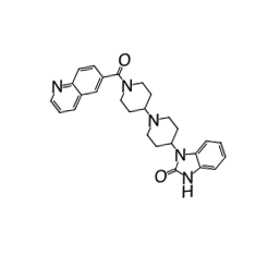 O=C(c1ccc2ncccc2c1)N1CCC(N2CCC(n3c(=O)[nH]c4ccccc43)CC2)CC1